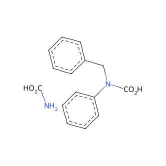 NC(=O)O.O=C(O)N(Cc1ccccc1)c1ccccc1